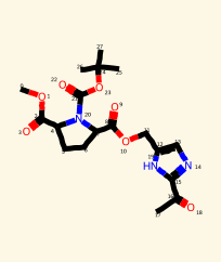 COC(=O)C1CCC(C(=O)OCc2cnc(C(C)=O)[nH]2)N1C(=O)OC(C)(C)C